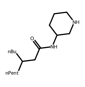 CCCCCC(CCCC)CC(=O)NC1CCCNC1